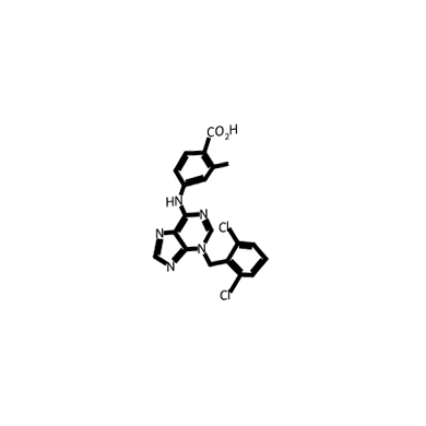 Cc1cc(Nc2ncn(Cc3c(Cl)cccc3Cl)c3ncnc2-3)ccc1C(=O)O